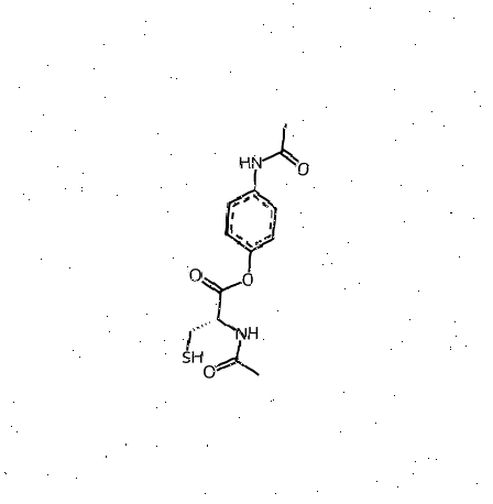 CC(=O)Nc1ccc(OC(=O)[C@@H](CS)NC(C)=O)cc1